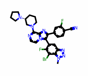 Cn1nnc2cc(-c3c(-c4ccc(C#N)c(F)c4)nc4c(N5CCC[C@@H](N6CCCC6)C5)nccn34)c(F)c(Br)c21